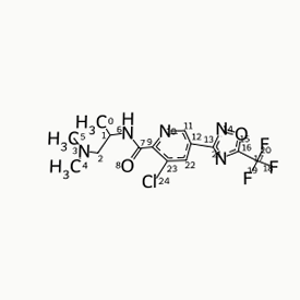 CC(CN(C)C)NC(=O)c1ncc(-c2noc(C(F)(F)F)n2)cc1Cl